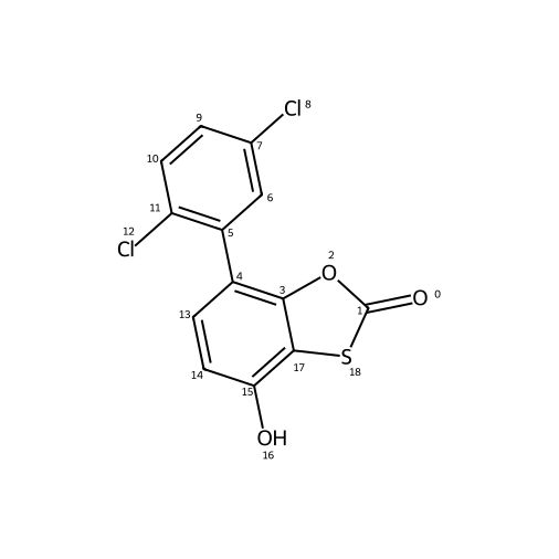 O=c1oc2c(-c3cc(Cl)ccc3Cl)ccc(O)c2s1